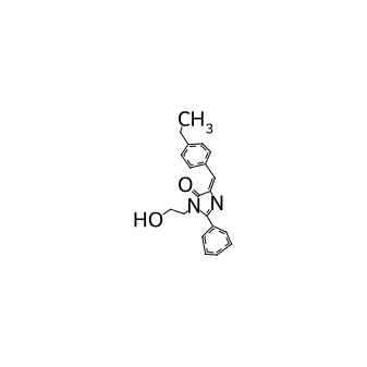 CCc1ccc(C=C2N=C(c3ccccc3)N(CCO)C2=O)cc1